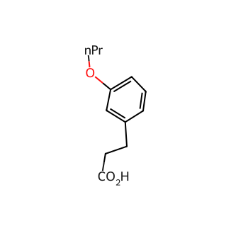 CCCOc1cccc(CCC(=O)O)c1